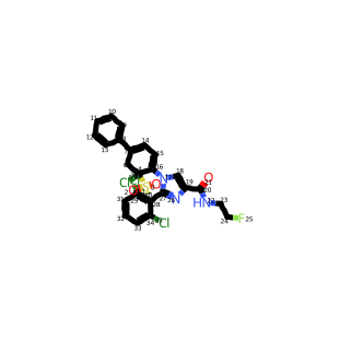 CS(=O)(=O)C1(Cl)CC(c2ccccc2)=CC=C1n1cc(C(=O)NCCF)nc1-c1c(Cl)cccc1Cl